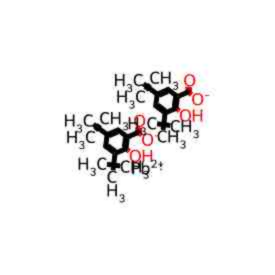 CC(C)(C)c1cc(C(=O)[O-])c(O)c(C(C)(C)C)c1.CC(C)(C)c1cc(C(=O)[O-])c(O)c(C(C)(C)C)c1.[Pb+2]